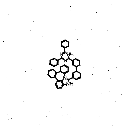 C1=CCCC(C2=NC(c3ccccc3)=NC(C3=CC(C4C=C(C5Nc6cccc7c6N5C5=CC=CCC5C5=C7CCCC5)C=CC4)CC=C3)N2)=C1